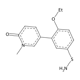 CCOc1ccc(SN)cc1-c1ccc(=O)n(C)c1